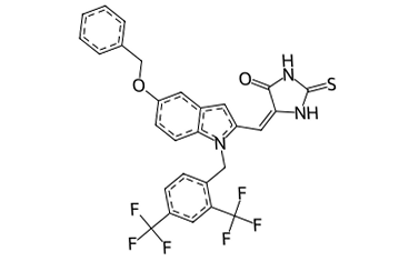 O=C1NC(=S)NC1=Cc1cc2cc(OCc3ccccc3)ccc2n1Cc1ccc(C(F)(F)F)cc1C(F)(F)F